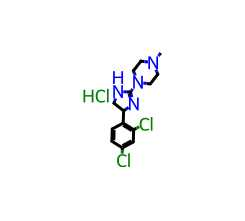 CN1CCN(C2=NC(c3ccc(Cl)cc3Cl)CN2)CC1.Cl